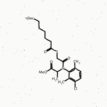 CCCCCCCCCCCCCCCC(=O)SCC(=O)N(c1c(C)ccc(Cl)c1C)C(C)C(=O)OC